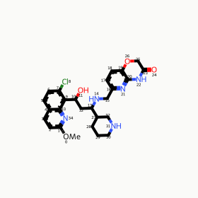 COc1ccc2ccc(Cl)c(C(O)CC(NCc3ccc4c(n3)NC(=O)CO4)C3CCCNC3)c2n1